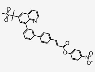 CC(C)(c1cc(-c2cccc(-c3ccc(C=CC(=O)Oc4ccc([N+](=O)[O-])cc4)cc3)c2)c2ncccc2c1)S(C)(=O)=O